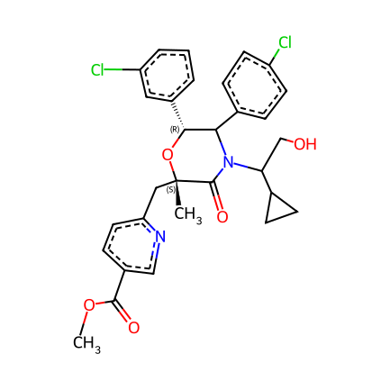 COC(=O)c1ccc(C[C@]2(C)O[C@H](c3cccc(Cl)c3)C(c3ccc(Cl)cc3)N(C(CO)C3CC3)C2=O)nc1